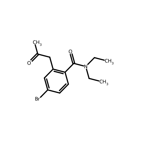 CCN(CC)C(=O)c1ccc(Br)cc1CC(C)=O